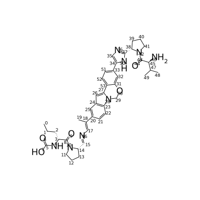 CCC[C@@H](NC(=O)O)C(=O)N1CCC[C@H]1/C=N/C=C(\C)c1ccc2c(c1)cc1n2COc2cc(-c3cnc([C@@H]4CCCN4C(=O)[C@@H](N)C(C)C)[nH]3)ccc2-1